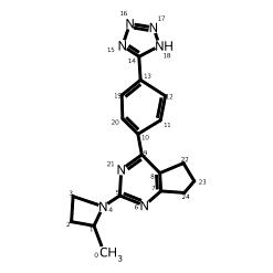 CC1CCN1c1nc2c(c(-c3ccc(-c4nnn[nH]4)cc3)n1)CCC2